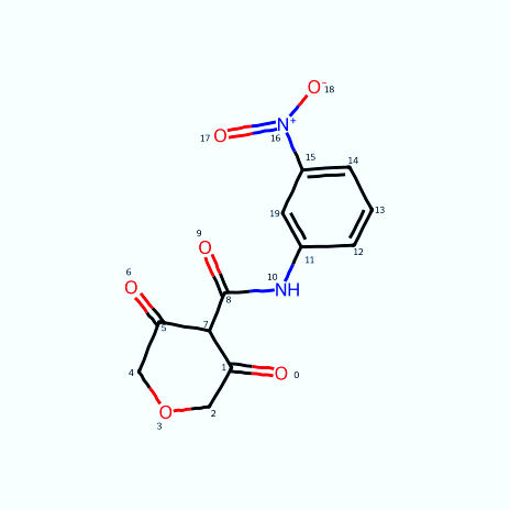 O=C1COCC(=O)C1C(=O)Nc1cccc([N+](=O)[O-])c1